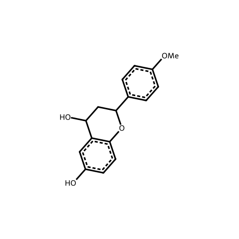 COc1ccc(C2CC(O)c3cc(O)ccc3O2)cc1